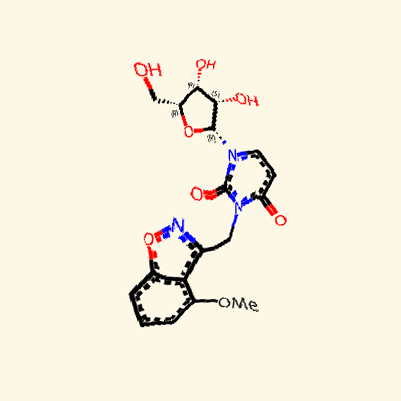 COc1cccc2onc(Cn3c(=O)ccn([C@@H]4O[C@H](CO)[C@H](O)[C@@H]4O)c3=O)c12